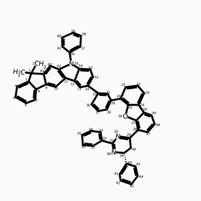 CC1(C)c2ccccc2-c2cc3c4cc(-c5cccc(-c6cccc7c6oc6c(C8=NC(c9ccccc9)=N[C@@H](c9ccccc9)C8)cccc67)c5)ccc4n(-c4ccccc4)c3cc21